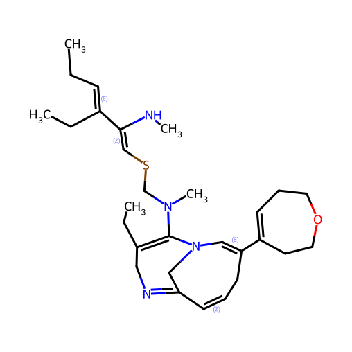 CC/C=C(CC)/C(=C/SCN(C)C1=C(CC)CN=C2/C=C\C/C(C3=CCCOCC3)=C\N1C2)NC